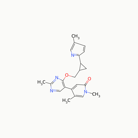 Cc1ccc(C2CC2COc2nc(C)ncc2-c2cc(=O)n(C)cc2C)nc1